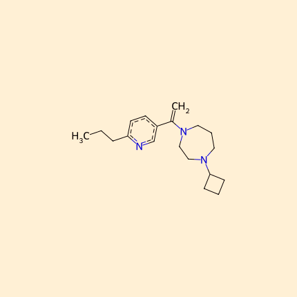 C=C(c1ccc(CCC)nc1)N1CCCN(C2CCC2)CC1